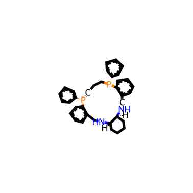 c1ccc([P@]2CCC[P@@](c3ccccc3)c3ccccc3CN[C@H]3CCCC[C@@H]3NCc3ccccc32)cc1